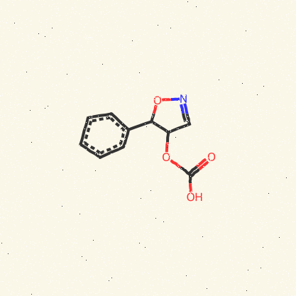 O=C(O)OC1C=NOC1c1ccccc1